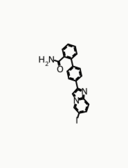 NC(=O)c1ccccc1-c1ccc(-c2cn3cc(I)ccc3n2)cc1